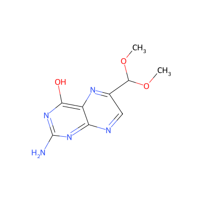 COC(OC)c1cnc2nc(N)nc(O)c2n1